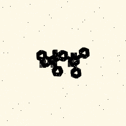 c1ccc(-c2cc(-c3ccccc3)nc(-c3ccc4sc5c6c7ccccc7ncc6n(-c6ccccc6)c5c4c3)n2)cc1